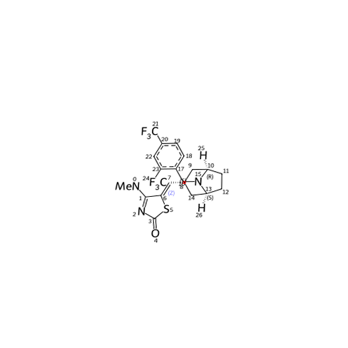 CNC1=NC(=O)S/C1=C\[C@@H]1C[C@H]2CC[C@@H](C1)N2Cc1ccc(C(F)(F)F)cc1C(F)(F)F